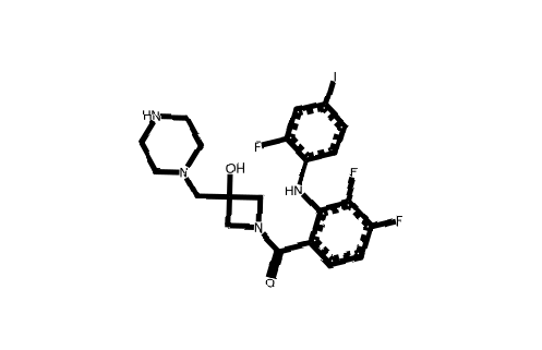 O=C(c1ccc(F)c(F)c1Nc1ccc(I)cc1F)N1CC(O)(CN2CCNCC2)C1